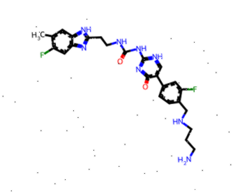 Cc1cc2[nH]c(CCNC(=O)Nc3nc(=O)c(-c4ccc(CNCCCN)c(F)c4)c[nH]3)nc2cc1F